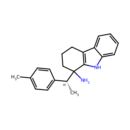 Cc1ccc([C@@H](C)C2(N)CCCc3c2[nH]c2ccccc32)cc1